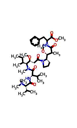 CCC(C)[C@@H]([C@@H](CC(=O)N1CCC[C@H]1[C@H](OC)[C@@H](C)C(=O)NC(Cc1ccccc1)C(=O)OC)OC)N(C)C(=O)[C@@H](NC(=O)[C@H](C(C)C)N(C)C)C(C)C